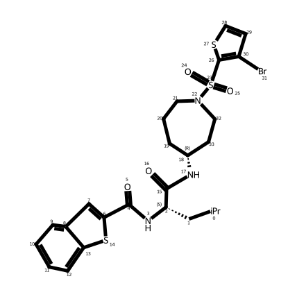 CC(C)C[C@H](NC(=O)c1cc2ccccc2s1)C(=O)N[C@@H]1CCCN(S(=O)(=O)c2sccc2Br)CC1